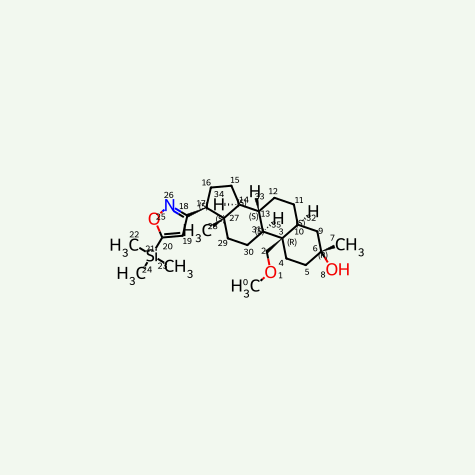 COC[C@]12CC[C@@](C)(O)C[C@@H]1CC[C@H]1[C@@H]3CC[C@H](c4cc([Si](C)(C)C)on4)[C@@]3(C)CC[C@@H]12